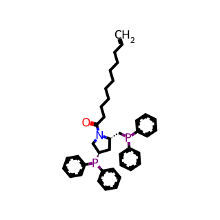 C=CCCCCCCCCC(=O)N1C[C@@H](P(c2ccccc2)c2ccccc2)C[C@H]1CP(c1ccccc1)c1ccccc1